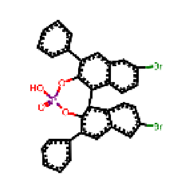 O=P1(O)Oc2c(-c3ccccc3)cc3cc(Br)ccc3c2-c2c(c(-c3ccccc3)cc3cc(Br)ccc23)O1